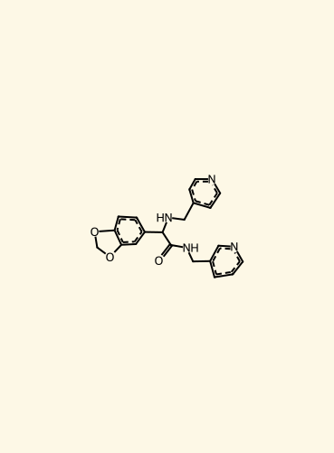 O=C(NCc1cccnc1)C(NCc1ccncc1)c1ccc2c(c1)OCO2